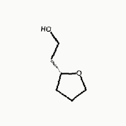 OCC[C@H]1CCCO1